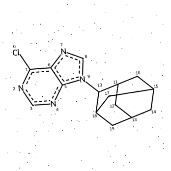 Clc1ncnc2c1ncn2C1C2CC3CC(C2)CC1C3